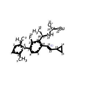 Cc1ccc(C)n1-c1ccc(/C=C/C2CC2)c([C@@H](C)N[S+]([O-])C(C)(C)C)c1F